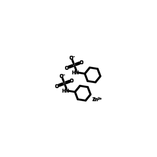 O=S(=O)([O-])NC1CCCCC1.O=S(=O)([O-])NC1CCCCC1.[Zn+2]